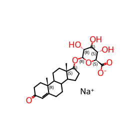 C[C@]12CCC(=O)C=C1CCC1C2CC[C@@]2(C)C1CC[C@@H]2O[C@@H]1O[C@H](C(=O)[O-])[C@@H](O)[C@H](O)[C@H]1O.[Na+]